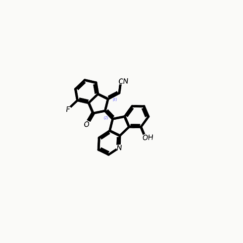 N#C/C=C1/C(=C2/c3cccnc3-c3c(O)cccc32)C(=O)c2c(F)cccc21